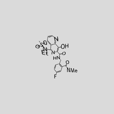 CCN(c1nc(C(=O)NCc2ccc(F)cc2C(=O)NC)c(O)c2ncccc12)S(C)(=O)=O